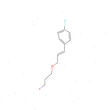 Fc1ccc(C=CCOCCCI)cc1